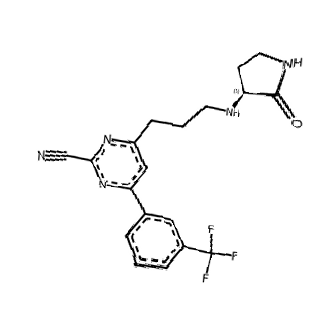 N#Cc1nc(CCCN[C@H]2CCNC2=O)cc(-c2cccc(C(F)(F)F)c2)n1